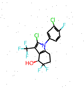 O[C@H]1c2c(C(F)(F)F)c(Cl)n(-c3ccc(F)c(Cl)c3)c2CCC1(F)F